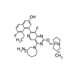 CCc1c(F)ccc2cc(O)cc(-c3ncc4c(N5CCCC[C@@H](N)C5)nc(OC[C@@]56CCCN5C[C@H](C)C6)nc4c3F)c12